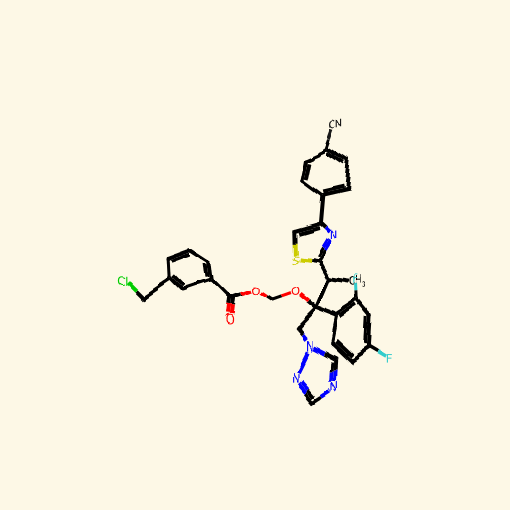 CC(c1nc(-c2ccc(C#N)cc2)cs1)C(Cn1cncn1)(OCOC(=O)c1cccc(CCl)c1)c1ccc(F)cc1F